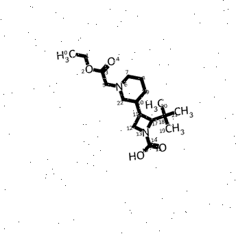 CCOC(=O)CN1CCCC(C2CN(C(=O)O)C2C(C)(C)C)C1